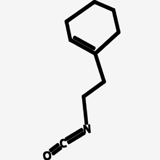 O=C=NCCC1=CCCCC1